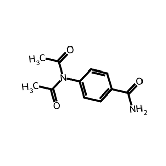 CC(=O)N(C(C)=O)c1ccc(C(N)=O)cc1